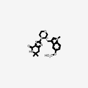 Cn1cc(C[C@H]2COCCN2c2nc3c(s2)C(=O)NC(C)(C)C3)c2cc(OC(=O)O)ccc21